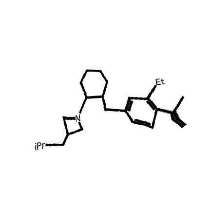 C=C(C)c1ccc(CC2CCCCC2N2CC(CC(C)C)C2)cc1CC